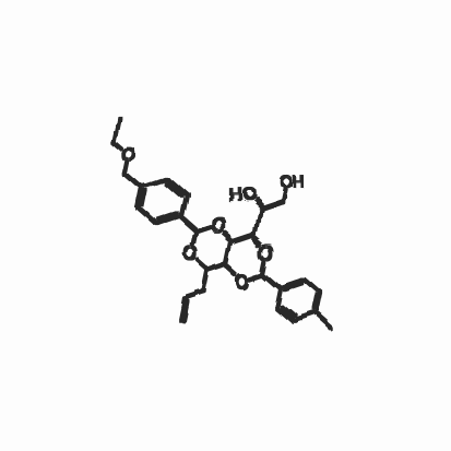 C=CCC1OC(c2ccc(COCC)cc2)OC2C(C(O)CO)OC(c3ccc(C)cc3)OC12